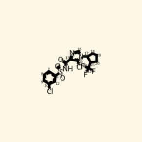 O=C(NS(=O)(=O)c1cccc(Cl)c1)c1ncn(C2CCCC2C(F)(F)F)c1Cl